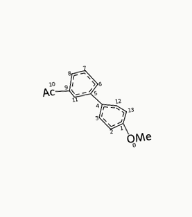 COc1ccc(-c2cccc(C(C)=O)c2)cc1